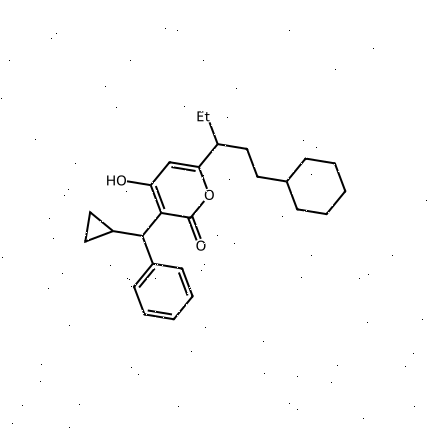 CCC(CCC1CCCCC1)c1cc(O)c(C(c2ccccc2)C2CC2)c(=O)o1